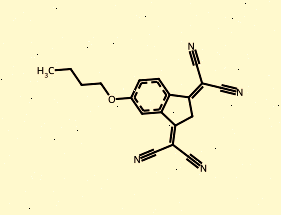 CCCCOc1ccc2c(c1)C(=C(C#N)C#N)CC2=C(C#N)C#N